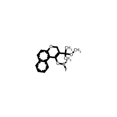 COC(C)(C)C1=C(OB(F)F)c2c(ccc3ccccc23)OC1